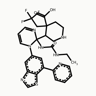 CCNC(=O)NC1(C2CNCCC2(CC(F)(F)F)C(=O)O)N=CC=CN1c1cc(-c2ccccn2)c2scnc2c1